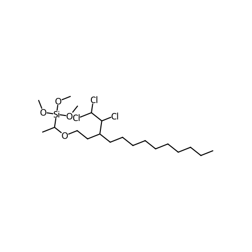 CCCCCCCCCCC(CCOC(C)[Si](OC)(OC)OC)C(Cl)C(Cl)Cl